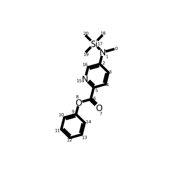 CN(c1ccc(C(=O)Oc2ccccc2)nc1)[Si](C)(C)C